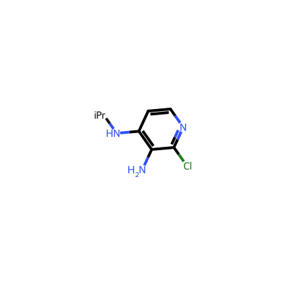 CC(C)Nc1ccnc(Cl)c1N